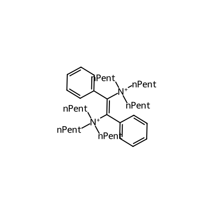 CCCCC[N+](CCCCC)(CCCCC)C(=C(c1ccccc1)[N+](CCCCC)(CCCCC)CCCCC)c1ccccc1